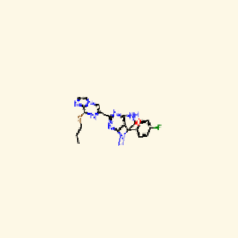 CCCSc1nc(-c2nc3c4c(n2)NC4(c2ccc(F)cc2)C(=O)N3)cn2ccnc12